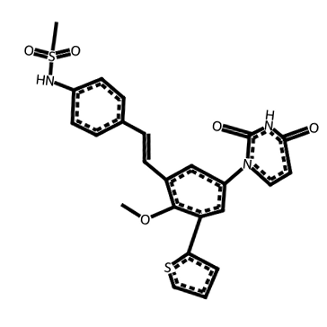 COc1c(/C=C/c2ccc(NS(C)(=O)=O)cc2)cc(-n2ccc(=O)[nH]c2=O)cc1-c1cccs1